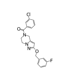 O=C(c1cccc(Cl)c1)N1CCn2nc(OCc3cccc(F)c3)cc2C1